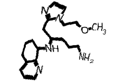 COCCn1ccnc1CC(CCCN)NC1CCCc2cccnc21